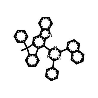 CC1(c2ccccc2)c2ccccc2-c2c1cc1c(oc3ccccc31)c2-c1nc(-c2ccccc2)nc(-c2cccc3ccccc23)n1